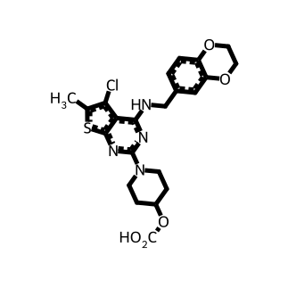 Cc1sc2nc(N3CCC(OC(=O)O)CC3)nc(NCc3ccc4c(c3)OCCO4)c2c1Cl